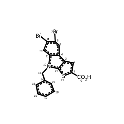 O=C(O)c1cc2c3cc(Br)c(Br)cc3n(Cc3ccccc3)c2s1